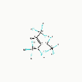 CC(=C(C(F)C(F)(F)F)C(F)C(F)(F)F)C(F)(F)F